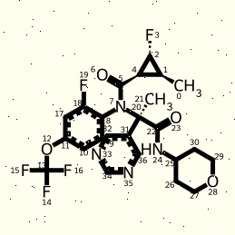 C[C@@H]1[C@@H](F)[C@@H]1C(=O)N(c1ccc(OC(F)(F)F)cc1F)[C@@](C)(C(=O)NC1CCOCC1)c1cncnc1